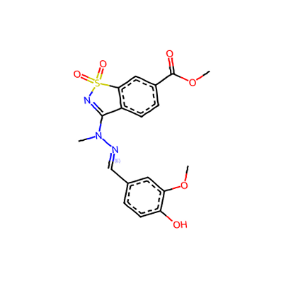 COC(=O)c1ccc2c(c1)S(=O)(=O)N=C2N(C)/N=C/c1ccc(O)c(OC)c1